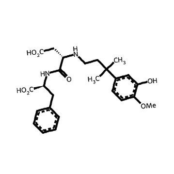 COc1ccc(C(C)(C)CCN[C@@H](CC(=O)O)C(=O)N[C@@H](Cc2ccccc2)C(=O)O)cc1O